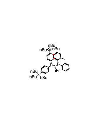 CCCC[Si](CCCC)(CCCC)c1ccc(P(c2ccc([Si](CCCC)(CCCC)CCCC)cc2)N(C(C)C)P(c2ccccc2)c2ccccc2C)cc1